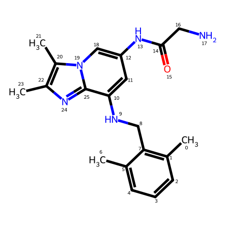 Cc1cccc(C)c1CNc1cc(NC(=O)CN)cn2c(C)c(C)nc12